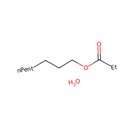 CCCCCCCCOC(=O)CC.O